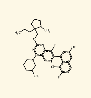 CCCC1(COc2nc(N3CCCC(C)C3)c3cnc(-c4cc(O)cc5ccc(F)c(Cl)c45)c(F)c3n2)CCCN1C